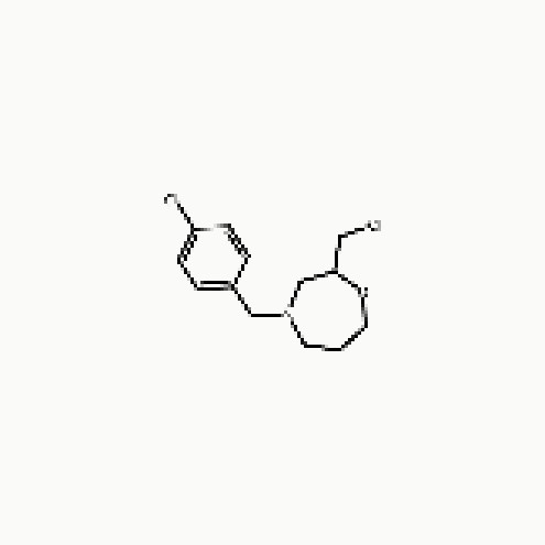 ClCC1CN(Cc2ccc(Cl)cc2)CCCO1